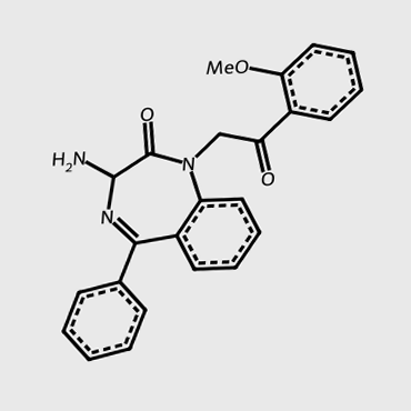 COc1ccccc1C(=O)CN1C(=O)C(N)N=C(c2ccccc2)c2ccccc21